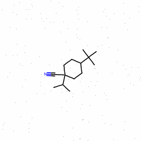 CC(C)C1(C#N)CCC(C(C)(C)C)CC1